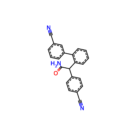 N#Cc1ccc(C(C(N)=O)c2ccccc2-c2cccc(C#N)c2)cc1